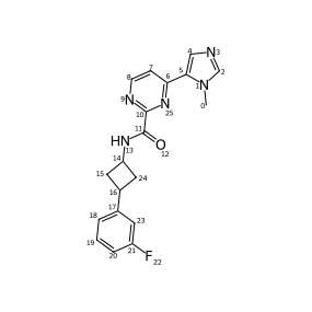 Cn1cncc1-c1ccnc(C(=O)NC2CC(c3cccc(F)c3)C2)n1